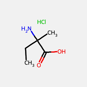 CCC(C)(N)C(=O)O.Cl